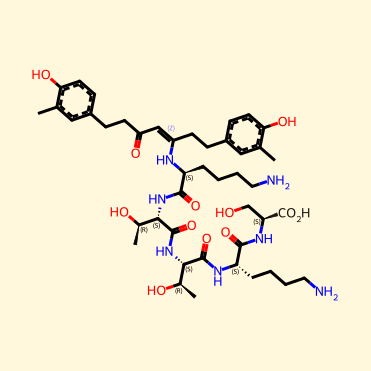 Cc1cc(CCC(=O)/C=C(/CCc2ccc(O)c(C)c2)N[C@@H](CCCCN)C(=O)N[C@H](C(=O)N[C@H](C(=O)N[C@@H](CCCCN)C(=O)N[C@@H](CO)C(=O)O)[C@@H](C)O)[C@@H](C)O)ccc1O